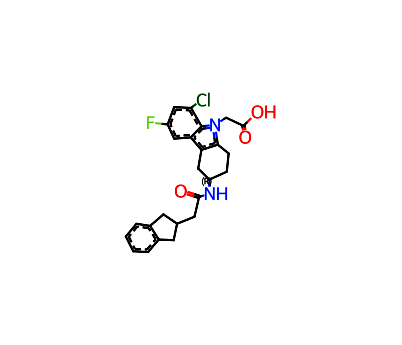 O=C(O)Cn1c2c(c3cc(F)cc(Cl)c31)C[C@H](NC(=O)CC1Cc3ccccc3C1)CC2